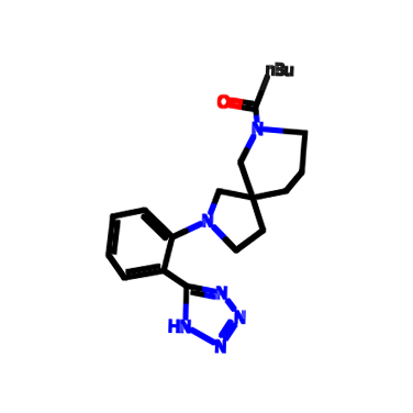 CCCCC(=O)N1CCCC2(CCN(c3ccccc3-c3nnn[nH]3)C2)C1